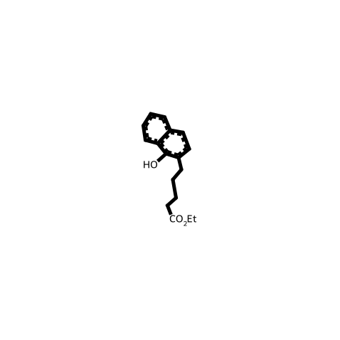 CCOC(=O)CCCCc1ccc2ccccc2c1O